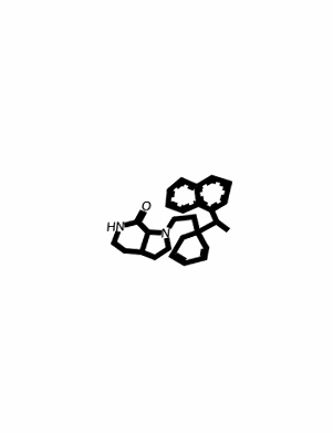 CC(c1cccc2ccccc12)C1(CCN2CCC3CCNC(=O)C32)C=CC=CC1